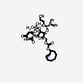 CC(C)N(C(C)C)P(OCCC#N)O[C@H]1C(O[Si](C)(C)C)[C@H](n2ccc(=O)[nH]c2=O)O[C@@H]1COC(=O)OC1/C=C/CCCCC1